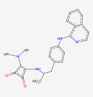 CCCN(CCC)c1c(NC(Cc2ccc(Nc3nccc4ccccc34)cc2)C(=O)O)c(=O)c1=O